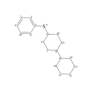 c1ccc(SC2CCC(C3CCCCC3)CC2)cc1